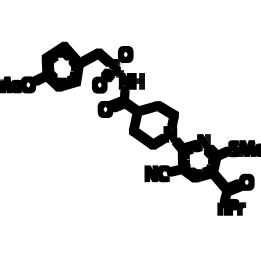 CCCC(=O)c1cc(C#N)c(N2CCC(C(=O)NS(=O)(=O)Cc3ccc(OC)cc3)CC2)nc1SC